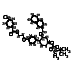 CC(C)(C)OC(=O)ON1CCC(c2ccc(OCCOC(=O)c3ccc(Cl)cc3)cc2)C(OCc2ccc3ccccc3c2)C1